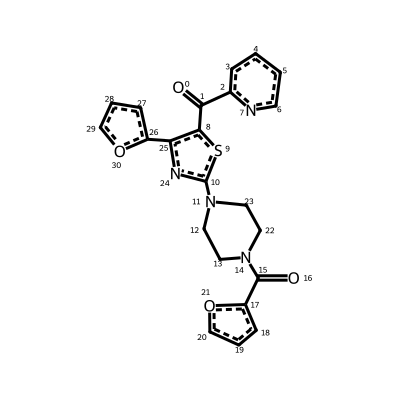 O=C(c1ccccn1)c1sc(N2CCN(C(=O)c3ccco3)CC2)nc1-c1ccco1